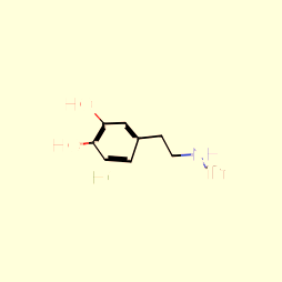 CC(C)NCCc1ccc(O)c(O)c1.Cl